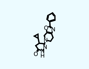 O=C1CC(C2CC2)C(N2CCc3nc(-c4ccccc4)oc3C2)=NN1